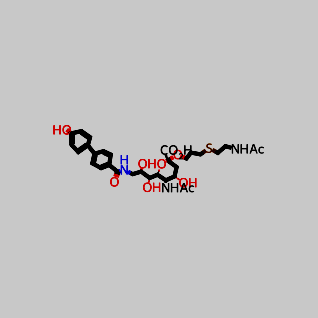 CC(=O)NCCSCCCO[C@]1(C(=O)O)C[C@H](O)[C@@H](NC(C)=O)[C@H]([C@H](O)[C@H](O)CNC(=O)c2ccc(-c3ccc(O)cc3)cc2)O1